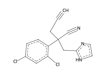 C#CCC(C#N)(Cc1ncc[nH]1)c1ccc(Cl)cc1Cl